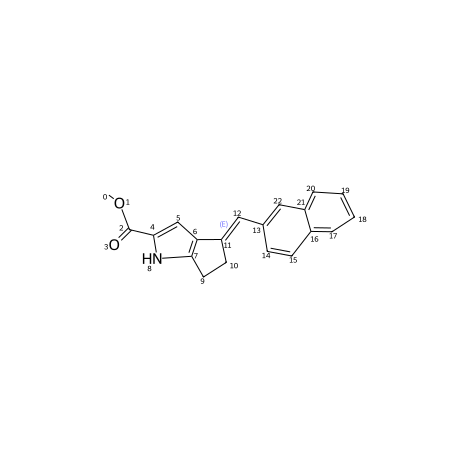 COC(=O)c1cc2c([nH]1)CC/C2=C\c1ccc2ccccc2c1